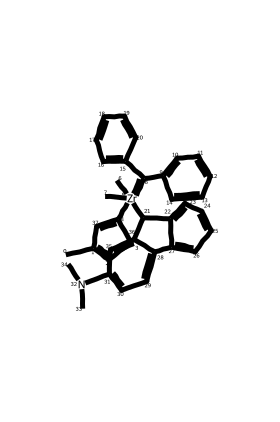 CC1=CC[C]([Zr]([CH3])([CH3])(=[C](c2ccccc2)c2ccccc2)[CH]2c3ccccc3-c3ccc(N(C)C)cc32)=C1